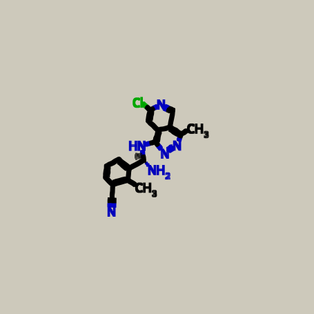 Cc1c(C#N)cccc1[C@@H](N)Nc1nnc(C)c2cnc(Cl)cc12